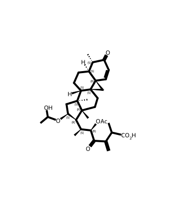 C=C(C(=O)[C@H](OC(C)=O)[C@@H](C)[C@H]1[C@@H](OC(C)O)C[C@@]2(C)[C@@H]3CC[C@H]4[C@H](C)C(=O)C=C[C@@]45C[C@@]35CC[C@]12C)C(C)C(=O)O